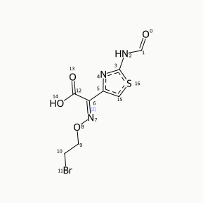 O=CNc1nc(/C(=N/OCCBr)C(=O)O)cs1